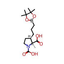 CC1(C)OB(CCC[C@@H]2CCN(C(=O)O)[C@]2(C)C(=O)O)OC1(C)C